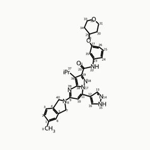 Cc1ccc2c(c1)CN(c1cc(-c3cn[nH]c3)n3nc(C(=O)Nc4cccc(OC5CCOCC5)c4)c(C(C)C)c3n1)C2